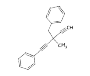 C#CC(C)(C#Cc1ccccc1)Cc1ccccc1